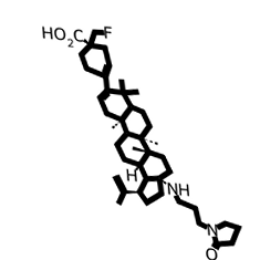 C=C(C)[C@@H]1CC[C@]2(NCCCN3CCCC3=O)CC[C@]3(C)[C@H](CCC4[C@@]5(C)CC=C(C6=CC[C@](CF)(C(=O)O)CC6)C(C)(C)C5CC[C@]43C)C12